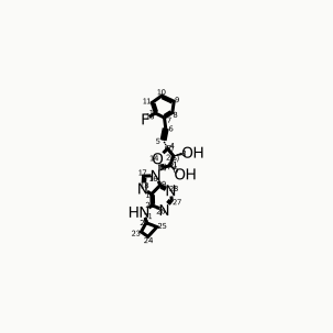 O[C@@H]1[C@H](O)[C@@H](C#Cc2ccccc2F)O[C@H]1n1cnc2c(NC3CCC3)ncnc21